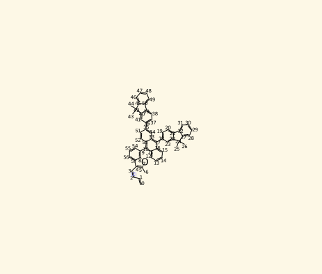 C=C/C=C\c1c(C)oc2c(-c3c4ccccc4c(-c4ccc5c(c4)C(C)(C)c4ccccc4-5)c4cc(-c5ccc6c(c5)C(C)(C)c5ccccc5-6)ccc34)cccc12